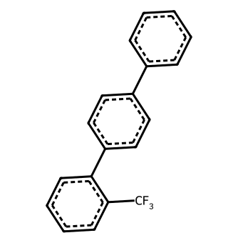 FC(F)(F)c1ccccc1-c1ccc(-c2ccccc2)cc1